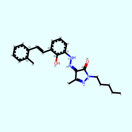 CCCCCN1N=C(C)/C(=N/Nc2cccc(/C=C/c3ccccc3C)c2O)C1=O